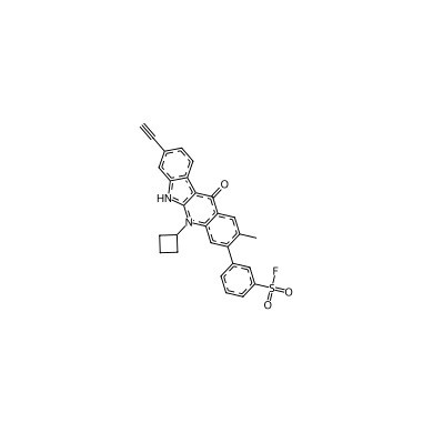 C#Cc1ccc2c(c1)[nH]c1c2c(=O)c2cc(C)c(-c3cccc(S(=O)(=O)F)c3)cc2n1C1CCC1